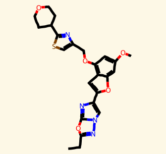 CCc1nn2cc(-c3cc4c(OCc5csc(C6CCOCC6)n5)cc(OC)cc4o3)nc2o1